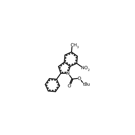 Cc1cc([N+](=O)[O-])c2c(c1)cc(-c1ccccc1)n2C(=O)OC(C)(C)C